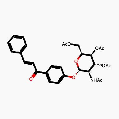 CC(=O)N[C@H]1[C@H](Oc2ccc(C(=O)/C=C/c3ccccc3)cc2)O[C@@H](COC(C)=O)[C@@H](OC(C)=O)[C@@H]1OC(C)=O